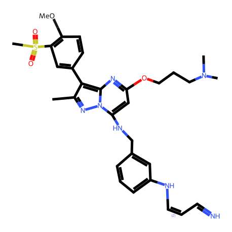 COc1ccc(-c2c(C)nn3c(NCc4cccc(N/C=C\C=N)c4)cc(OCCCN(C)C)nc23)cc1S(C)(=O)=O